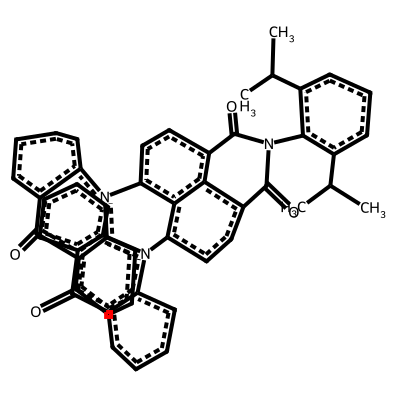 CC(C)c1cccc(C(C)C)c1N1C(=O)c2ccc(-n3c4ccccc4c(=O)c4ccccc43)c3c(-n4c5ccccc5c(=O)c5ccccc54)ccc(c23)C1=O